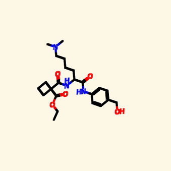 CCOC(=O)C1(C(=O)NC(CCCCN(C)C)C(=O)Nc2ccc(CO)cc2)CCC1